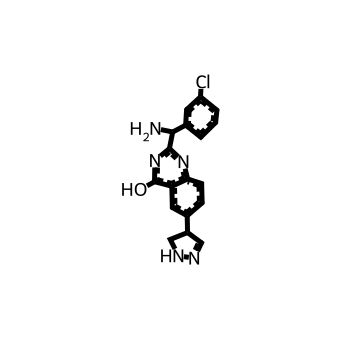 NC(c1cccc(Cl)c1)c1nc(O)c2cc(C3C=NNC3)ccc2n1